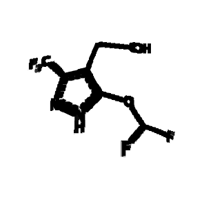 OCc1c(C(F)(F)F)n[nH]c1OC(F)F